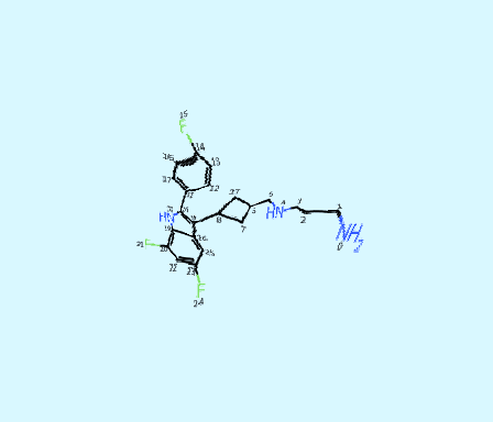 NCCCNCC1CC(c2c(-c3ccc(F)cc3)[nH]c3c(F)cc(F)cc23)C1